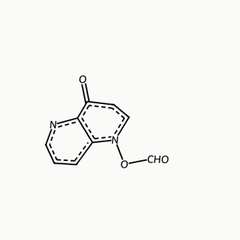 O=COn1ccc(=O)c2ncccc21